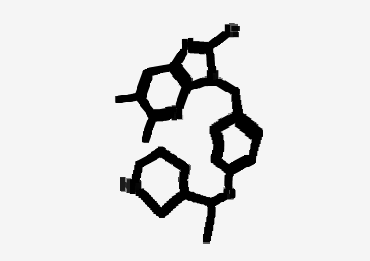 CCc1nc2cc(C)c(C)nc2n1Cc1ccc(OC(C)C2CCCNC2)cc1